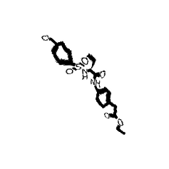 CCOC(=O)Cc1ccc(NC(=O)[C@H](CC)NS(=O)(=O)c2ccc(Cl)cc2)cc1